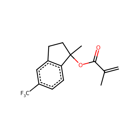 C=C(C)C(=O)OC1(C)CCc2cc(C(F)(F)F)ccc21